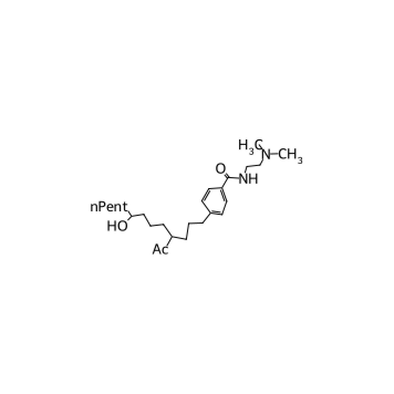 CCCCCC(O)CCCC(CCCc1ccc(C(=O)NCCN(C)C)cc1)C(C)=O